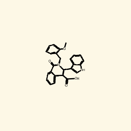 COc1ccccc1CN1C(=O)c2ccccc2C(C(=O)O)C1c1c[nH]c2ccccc12